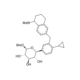 CNC1CCCc2cc(Cc3cc([C@@H]4O[C@H](OC)[C@@H](O)[C@H](O)[C@H]4O)ccc3C3CC3)ccc21